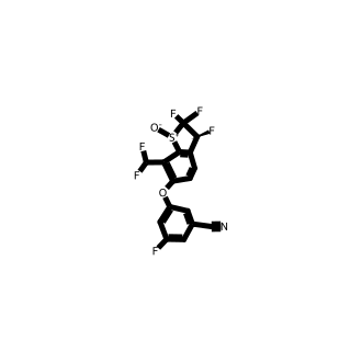 N#Cc1cc(F)cc(Oc2ccc3c(c2C(F)F)[S+]([O-])C(F)(F)[C@H]3F)c1